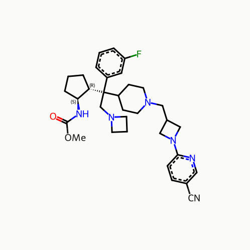 COC(=O)N[C@H]1CCC[C@@H]1C(CN1CCC1)(c1cccc(F)c1)C1CCN(CC2CN(c3ccc(C#N)cn3)C2)CC1